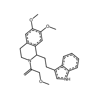 C=C(COC)N1CCc2cc(OC)c(OC)cc2C1CCc1c[nH]c2ccccc12